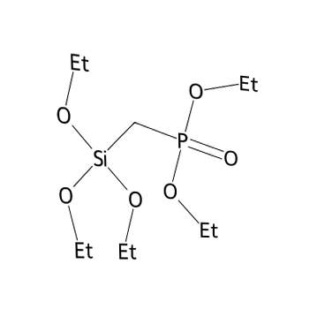 CCO[Si](CP(=O)(OCC)OCC)(OCC)OCC